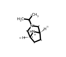 CC(C)N1C[C@H]2CC[C@@H](C1)N2